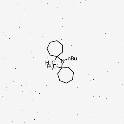 CCCCN(C1(C)CCCCCC1)C1(C)CCCCCC1